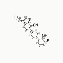 N#Cc1c(N2CCC(c3cccc(F)c3O)CC2)ccn2c(CC(F)(F)F)cnc12